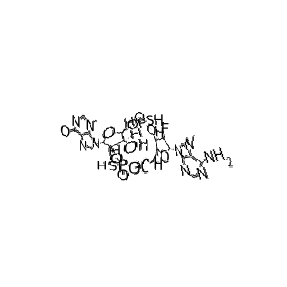 Cn1cnc(=O)c2ncn([C@@H]3O[C@@H]4OP(=O)(S)O[C@H]5[C@@H](F)[C@H](n6cnc7c(N)ncnc76)O[C@@H]5CCOP(=O)(S)O[C@@H]3[C@@H]4O)c21